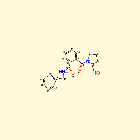 O=CC1CCCN1C(=O)c1ccccc1C(=O)NCc1ccccc1